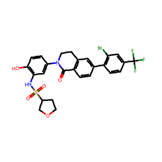 O=C1c2ccc(-c3ccc(C(F)(F)F)cc3Br)cc2CCN1c1ccc(O)c(NS(=O)(=O)C2CCOC2)c1